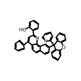 Oc1ccccc1-c1cc(-c2ccccc2)c2ccc3ccc(C4(c5ccccn5)c5ccccc5Oc5ccccc54)cc3c2n1